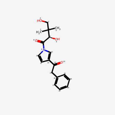 CC(C)(CO)[C@@H](O)C(=O)n1ccc(C(=O)Cc2ccccc2)c1